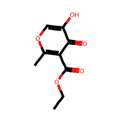 CCOC(=O)c1c(C)occ(O)c1=O